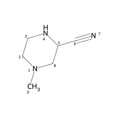 CN1[CH]CNC(C#N)C1